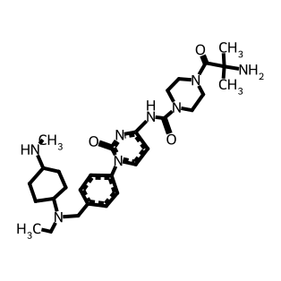 CCN(Cc1ccc(-n2ccc(NC(=O)N3CCN(C(=O)C(C)(C)N)CC3)nc2=O)cc1)C1CCC(NC)CC1